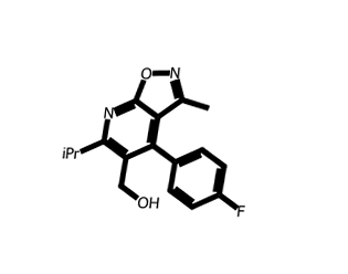 Cc1noc2nc(C(C)C)c(CO)c(-c3ccc(F)cc3)c12